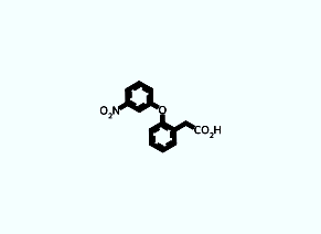 O=C(O)Cc1ccccc1Oc1cccc([N+](=O)[O-])c1